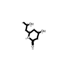 CC(O)CC1CC(O)CC(=O)O1